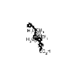 CN(CC(O)CNC(C)(C)CCCc1ccccc1)S(=O)(=O)c1cc(-c2ccc(CCC(=O)O)nc2)cc(C(F)(F)F)c1